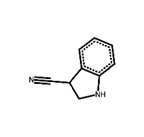 N#CC1CNc2ccccc21